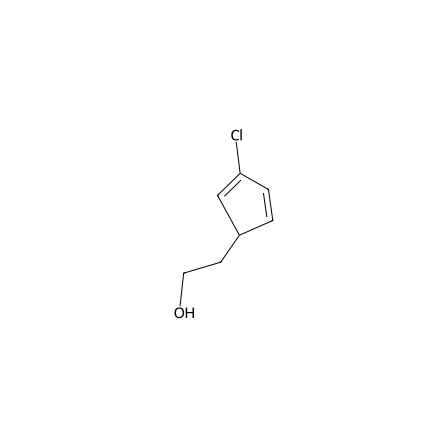 OCCC1C=CC(Cl)=C1